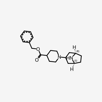 O=C(OCc1ccccc1)C1CCN(C2C[C@H]3CC[C@@H](C2)N3)CC1